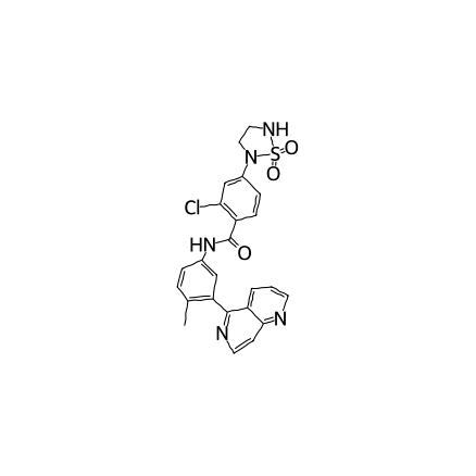 Cc1ccc(NC(=O)c2ccc(N3CCNS3(=O)=O)cc2Cl)cc1-c1nccc2ncccc12